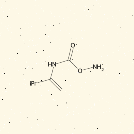 C=C(NC(=O)ON)C(C)C